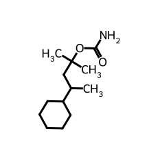 CC(CC(C)(C)OC(N)=O)C1CCCCC1